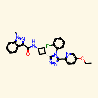 CCOc1ccc(-c2nnc([C@H]3C[C@H](NC(=O)c4nn(C)c5ccccc45)C3)n2-c2ccccc2F)nc1